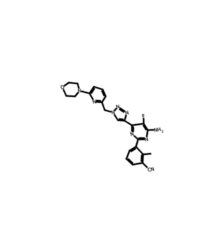 Cc1c(C#N)cccc1-c1nc(N)c(F)c(-c2cn(Cc3cccc(N4CCOCC4)n3)nn2)n1